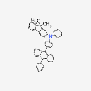 CC1(C)c2ccccc2-c2cc3c4cc(-c5c6ccccc6c(-c6ccccc6)c6ccccc56)ccc4n(-c4ccccc4)c3cc21